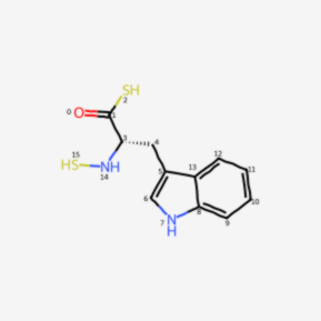 O=C(S)[C@H](Cc1c[nH]c2ccccc12)NS